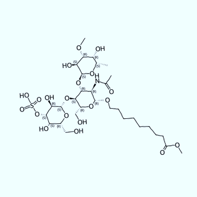 COC(=O)CCCCCCCCO[C@@H]1O[C@H](CO)[C@@H](O[C@@H]2O[C@H](CO)[C@H](O)[C@H](OS(=O)(=O)O)[C@H]2O)[C@H](O[C@@H]2O[C@@H](C)[C@@H](O)[C@@H](OC)[C@@H]2O)[C@H]1NC(C)=O